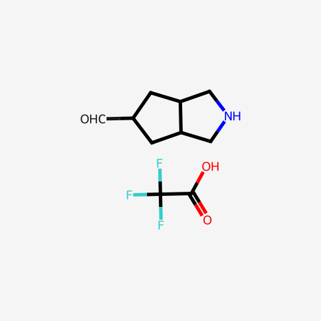 O=C(O)C(F)(F)F.O=CC1CC2CNCC2C1